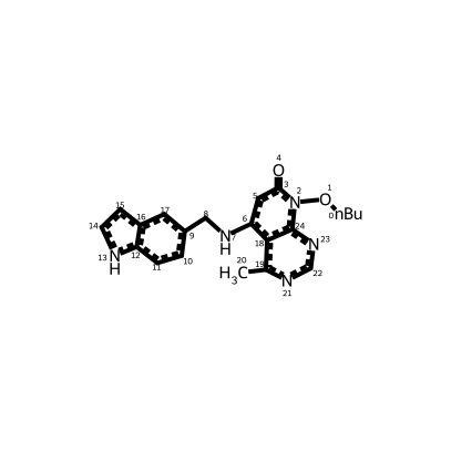 CCCCOn1c(=O)cc(NCc2ccc3[nH]ccc3c2)c2c(C)ncnc21